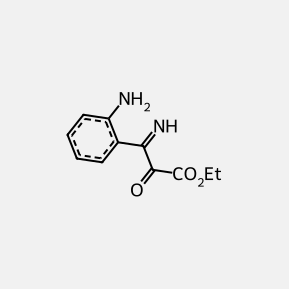 CCOC(=O)C(=O)C(=N)c1ccccc1N